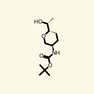 C[C@@H](O)[C@@H]1CC[C@@H](NC(=O)OC(C)(C)C)CO1